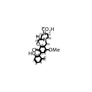 COc1cc(-c2c(O)cccc2F)c(Cl)c2c1CN1CCN(C(=O)O)C[C@@H]1CO2